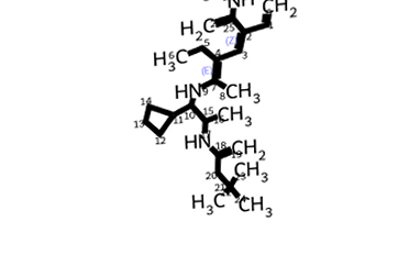 C=C/C(=C/C(CC)=C(\C)NC(C1CCC1)C(C)NC(=C)CC(C)(C)C)C(=C)NC